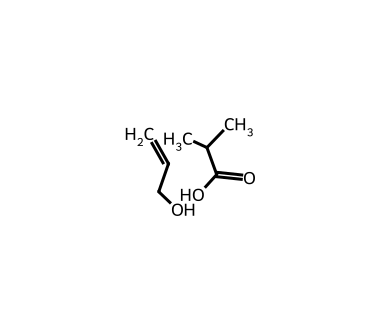 C=CCO.CC(C)C(=O)O